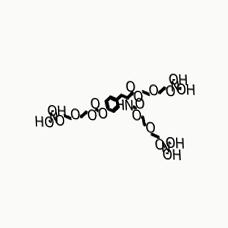 O=C(NC(Cc1ccc(OC(=O)OCCOCCON(O)O)cc1)C(=O)OCCOCCON(O)O)OCCOCCON(O)O